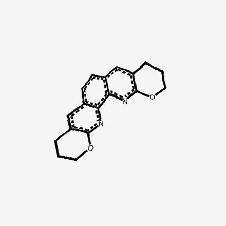 c1cc2cc3c(nc2c2nc4c(cc12)CCCO4)OCCC3